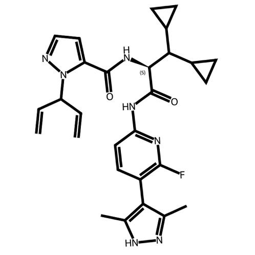 C=CC(C=C)n1nccc1C(=O)N[C@H](C(=O)Nc1ccc(-c2c(C)n[nH]c2C)c(F)n1)C(C1CC1)C1CC1